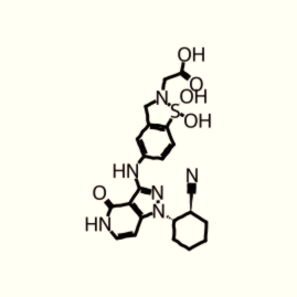 N#C[C@H]1CCCC[C@@H]1n1nc(Nc2ccc3c(c2)CN(CC(=O)O)S3(O)O)c2c(=O)[nH]ccc21